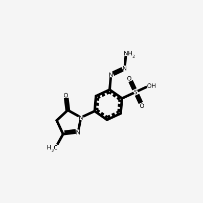 CC1=NN(c2ccc(S(=O)(=O)O)c(N=NN)c2)C(=O)C1